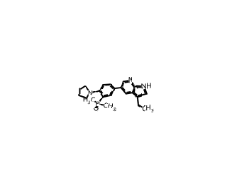 CCc1c[nH]c2ncc(-c3ccc(N4CCCC4)c(P(C)(C)=O)c3)cc12